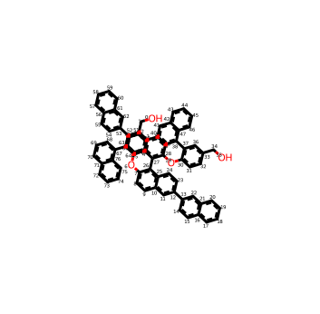 OCc1ccc(Oc2ccc3cc(-c4ccc5ccccc5c4)ccc3c2-c2c(Oc3ccc(CO)cc3-c3cccc4ccccc34)ccc3cc(-c4ccc5ccccc5c4)ccc23)c(-c2cccc3ccccc23)c1